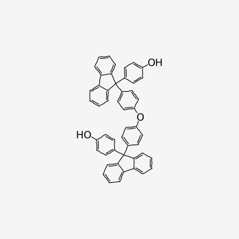 Oc1ccc(C2(c3ccc(Oc4ccc(C5(c6ccc(O)cc6)c6ccccc6-c6ccccc65)cc4)cc3)c3ccccc3-c3ccccc32)cc1